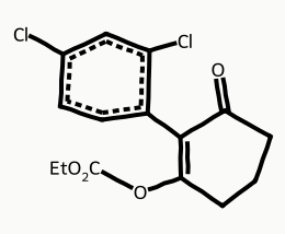 CCOC(=O)OC1=C(c2ccc(Cl)cc2Cl)C(=O)CCC1